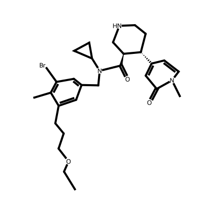 CCOCCCc1cc(CN(C(=O)[C@H]2CNCC[C@@H]2c2ccn(C)c(=O)c2)C2CC2)cc(Br)c1C